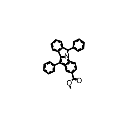 COC(=O)c1ccc2c(c1)c(-c1ccccc1)c1n2C(c2ccccc2)c2ccccc2-1